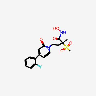 C[C@@](CCn1ccc(-c2ccccc2F)cc1=O)(C(=O)NO)S(C)(=O)=O